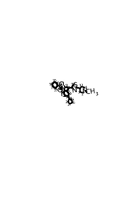 CN1CCC(c2nc(-c3cn(S(=O)(=O)c4ccccc4)c4ncc(C5=CCCC5)cc34)cs2)CC1